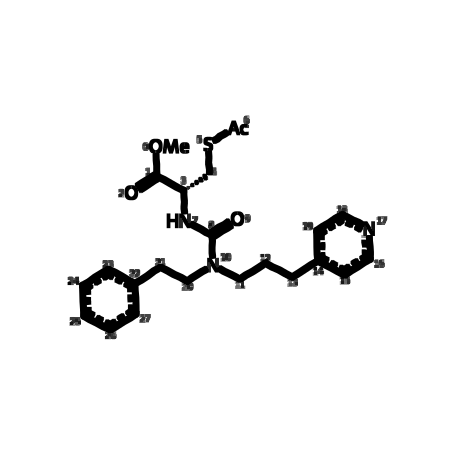 COC(=O)[C@H](CSC(C)=O)NC(=O)N(CCCc1ccncc1)CCc1ccccc1